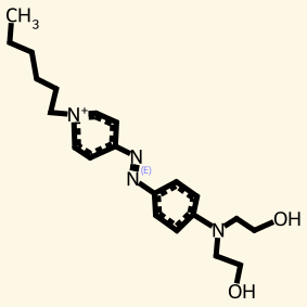 CCCCCC[n+]1ccc(/N=N/c2ccc(N(CCO)CCO)cc2)cc1